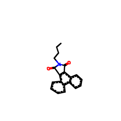 CCCCN1C(=O)c2c(c3ccccc3c3ccccc23)C1=O